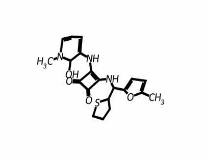 Cc1ccc(C(Nc2c(NC3=CC=CN(C)C3O)c(=O)c2=O)C2CCCS2)o1